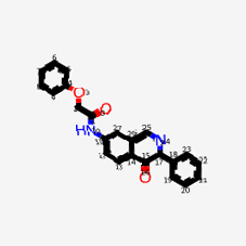 O=C(COc1ccccc1)NC1=CC=C2C(=O)C(c3ccccc3)[N]C=C2C1